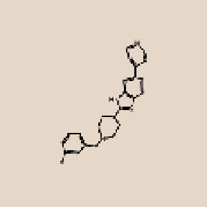 Fc1cccc(CN2CCC(c3nc4ccc(-c5ccncc5)cc4[nH]3)CC2)c1